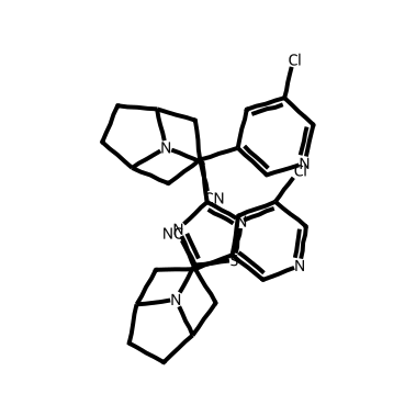 N#CC1(c2cncc(Cl)c2)CC2CCC(C1)N2Cc1nsc(N2C3CCC2CC(C#N)(c2cncc(Cl)c2)C3)n1